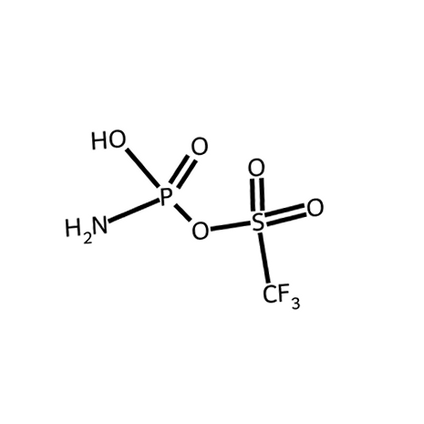 NP(=O)(O)OS(=O)(=O)C(F)(F)F